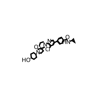 O=C(NC1CC1)c1ccc(-c2cnc(N3CCC[C@]4(CCN([C@H]5CC[C@@H](O)CC5)C4=O)C3)c(Cl)c2)cc1